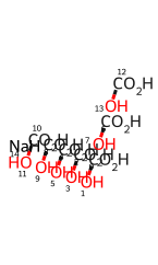 O=C(O)O.O=C(O)O.O=C(O)O.O=C(O)O.O=C(O)O.O=C(O)O.O=C(O)O.[NaH]